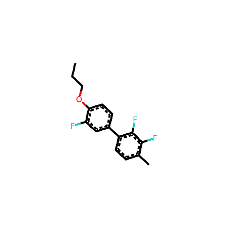 CCCOc1ccc(-c2ccc(C)c(F)c2F)cc1F